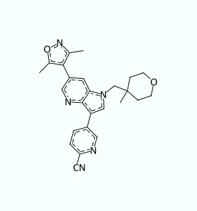 Cc1noc(C)c1-c1cnc2c(-c3ccc(C#N)nc3)cn(CC3(C)CCOCC3)c2c1